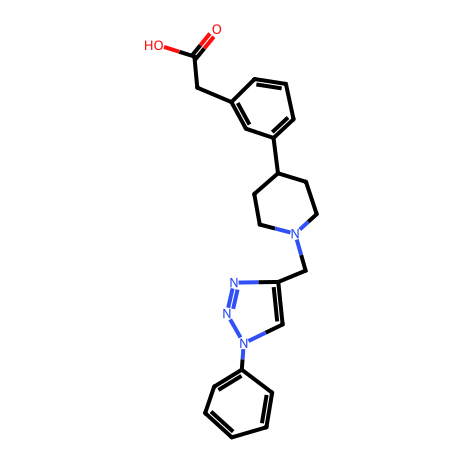 O=C(O)Cc1cccc(C2CCN(Cc3cn(-c4ccccc4)nn3)CC2)c1